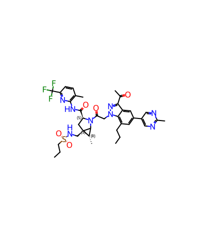 CCCc1cc(-c2cnc(C)nc2)cc2c(C(C)=O)nn(CC(=O)N3C4[C@H](C)[C@]4(CNS(=O)(=O)CCC)C[C@H]3C(=O)Nc3nc(C(F)(F)F)ccc3C)c12